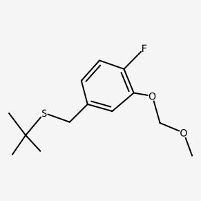 COCOc1cc(CSC(C)(C)C)ccc1F